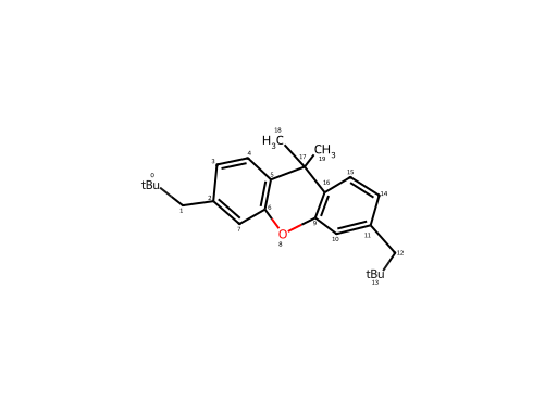 CC(C)(C)Cc1ccc2c(c1)Oc1cc(CC(C)(C)C)ccc1C2(C)C